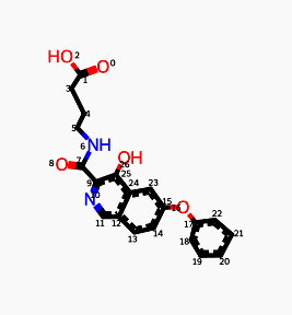 O=C(O)CCCNC(=O)c1ncc2ccc(Oc3ccccc3)cc2c1O